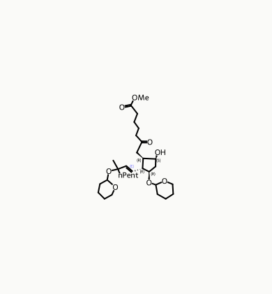 CCCCCC(C)(/C=C/[C@@H]1[C@@H](CC(=O)CCCCC(=O)OC)[C@@H](O)C[C@H]1OC1CCCCO1)OC1CCCCO1